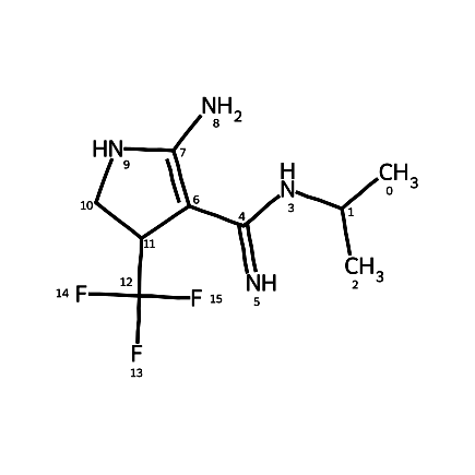 CC(C)NC(=N)C1=C(N)NCC1C(F)(F)F